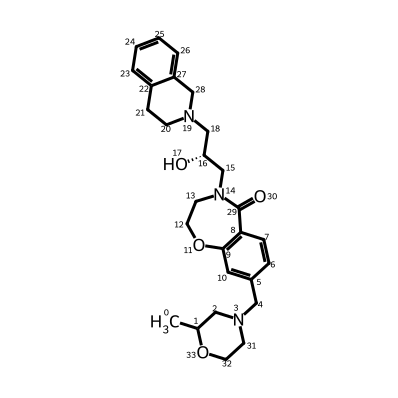 CC1CN(Cc2ccc3c(c2)OCCN(C[C@H](O)CN2CCc4ccccc4C2)C3=O)CCO1